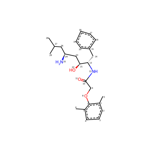 Cc1cccc(C)c1OCC(=O)N[C@@H](Cc1ccccc1)[C@@H](O)C[C@@H](N)CC(C)C